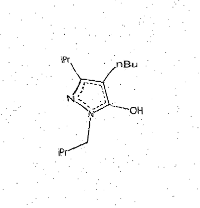 CCCCc1c(C(C)C)nn(CC(C)C)c1O